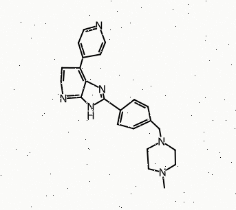 CN1CCN(Cc2ccc(-c3nc4c(-c5ccncc5)ccnc4[nH]3)cc2)CC1